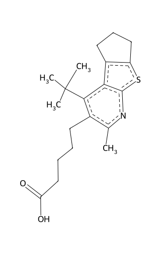 Cc1nc2sc3c(c2c(C(C)(C)C)c1CCCCC(=O)O)CCC3